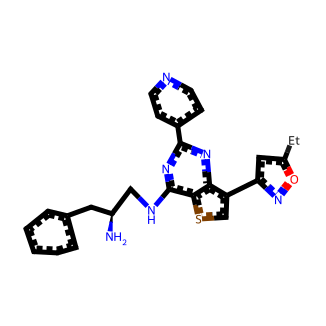 CCc1cc(-c2csc3c(NC[C@@H](N)Cc4ccccc4)nc(-c4ccncc4)nc23)no1